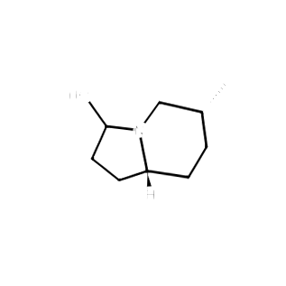 C[C@@H]1CC[C@@H]2CCC(O)N2C1